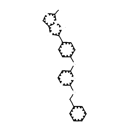 Cc1ncc2oc(-c3ccc(Nc4ccnc(NCc5ccccc5)n4)cc3)nn12